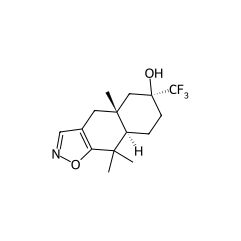 CC1(C)c2oncc2C[C@]2(C)C[C@](O)(C(F)(F)F)CC[C@@H]12